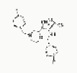 CN(C(NCc1ccc(F)cc1)=C(C#N)C#N)C1CN(Cc2ccc(F)cc2)CCO1